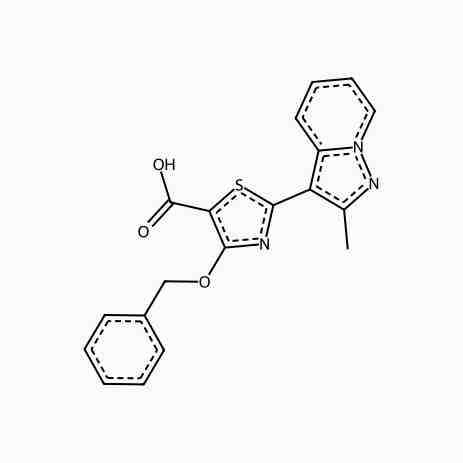 Cc1nn2ccccc2c1-c1nc(OCc2ccccc2)c(C(=O)O)s1